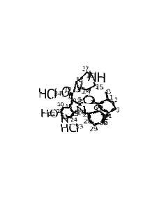 Cc1ccc(F)cc1Oc1c(C(=O)N2CCNCC2)c2cc(O)ncc2n1-c1ccccc1.Cl.Cl